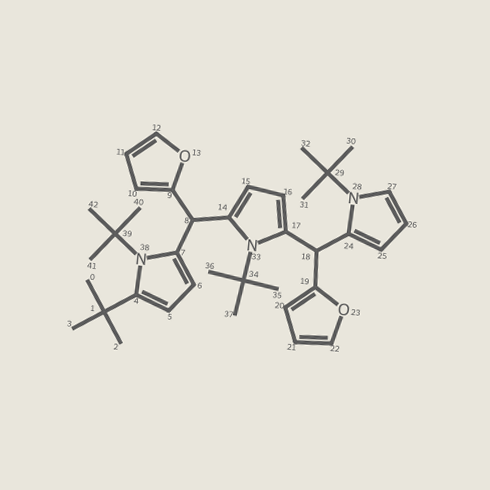 CC(C)(C)c1ccc(C(c2ccco2)c2ccc(C(c3ccco3)c3cccn3C(C)(C)C)n2C(C)(C)C)n1C(C)(C)C